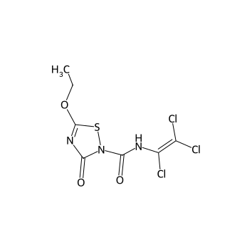 CCOc1nc(=O)n(C(=O)NC(Cl)=C(Cl)Cl)s1